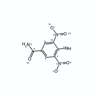 [NH]c1c([N+](=O)[O-])cc(C(N)=O)cc1[N+](=O)[O-]